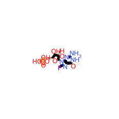 C[C@@]1(O)[C@H](O)[C@@H](COP(=O)(O)O)O[C@H]1n1c(I)nc2c(=O)[nH]c(N)nc21